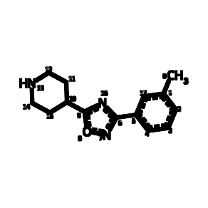 Cc1cccc(-c2noc(C3CCNCC3)n2)c1